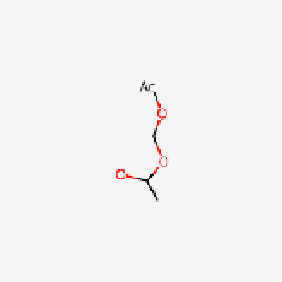 CC(=O)OCOC(C)[O]